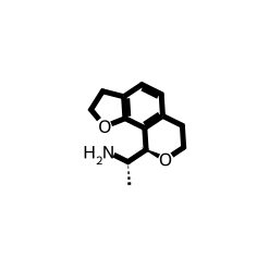 C[C@H](N)[C@@H]1OCCc2ccc3c(c21)OCC3